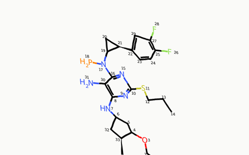 CCCOC1CC(Nc2nc(SCCC)nc(N(P)C3C[C@H]3c3ccc(F)c(F)c3)c2N)C[C@@H]1C